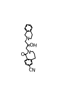 N#Cc1ccc2c(c1)CCCN(C[C@H](O)CN1CCc3ccccc3C1)C2=O